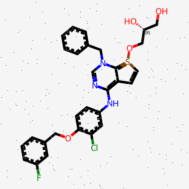 OC[C@@H](O)COS1=C2C(=C(Nc3ccc(OCc4cccc(F)c4)c(Cl)c3)N=CN2Cc2ccccc2)C=C1